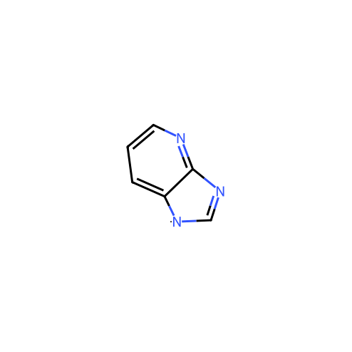 C1=Nc2ncccc2[N]1